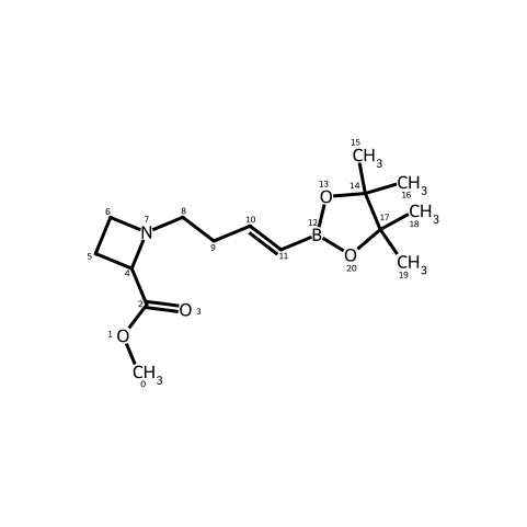 COC(=O)C1CCN1CC/C=C/B1OC(C)(C)C(C)(C)O1